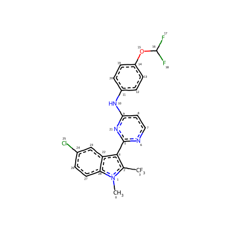 Cn1c(C(F)(F)F)c(-c2nccc(Nc3ccc(OC(F)F)cc3)n2)c2cc(Cl)ccc21